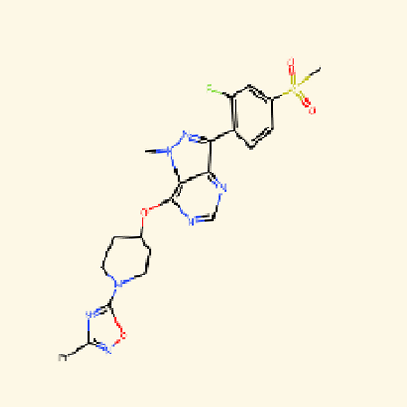 CC(C)c1noc(N2CCC(Oc3ncnc4c(-c5ccc(S(C)(=O)=O)cc5F)nn(C)c34)CC2)n1